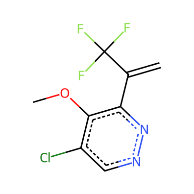 C=C(c1nncc(Cl)c1OC)C(F)(F)F